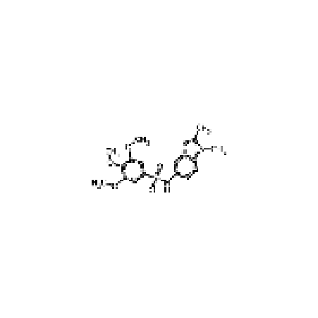 COc1cc(S(=O)(=O)Nc2ccc3c(c2)cc(C)n3C)cc(OC)c1OC